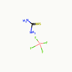 F[B-](F)(F)F.NC(N)=S